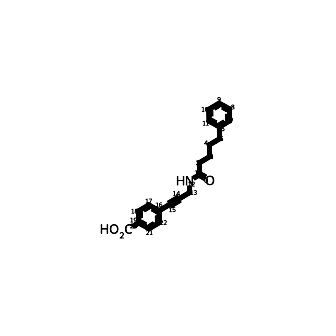 O=C(CCCCc1ccccc1)NCC#Cc1ccc(C(=O)O)cc1